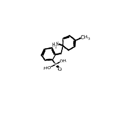 CC1=CCC(N)(Cc2ccccc2P(=O)(O)O)C=C1